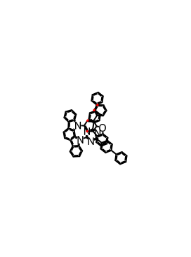 C1=C(c2ccccc2)C2Oc3ccccc3C2C=C1n1c2ccccc2c2ccc3c4ccccc4n(-c4nc(-c5ccc(-c6ccccc6)cc5)nc(-c5ccc(-c6ccccc6)cc5)n4)c3c21